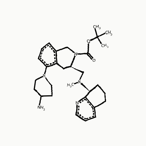 CN(C[C@H]1Cc2c(cccc2N2CCC(N)CC2)CN1C(=O)OC(C)(C)C)[C@H]1CCCc2cccnc21